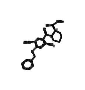 COC(=O)[C@H]1CCCCN1C(=O)c1cc(OC)c(OCc2ccccc2)cc1[N+](=O)[O-]